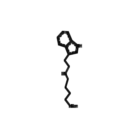 CCCCCCCCCCCCCNCCc1c[nH]c2ccccc12